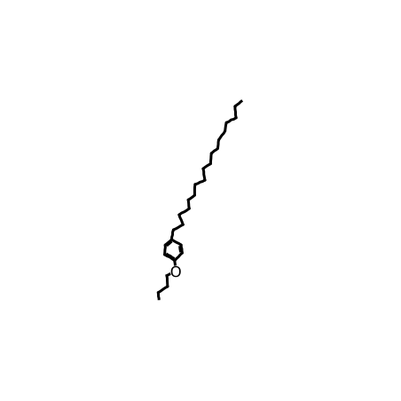 CCCCCCCCCCCCCCCCCCc1ccc(OCCCC)cc1